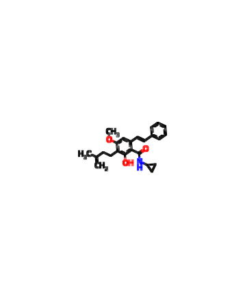 C=C(C)CCc1c(OC)cc(C=Cc2ccccc2)c(C(=O)NC2CC2)c1O